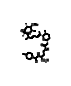 CO[C@H]([C@@H](C)[C@H]1O[C@]1(C)C[C@H](C)/C=C/C=C(\C)[C@H]1O[C@@H](CC(=O)NCC[C@H](NC(=O)N2CCN(C)CC2)C(=O)O)CC[C@@H]1C)[C@@H](C)O